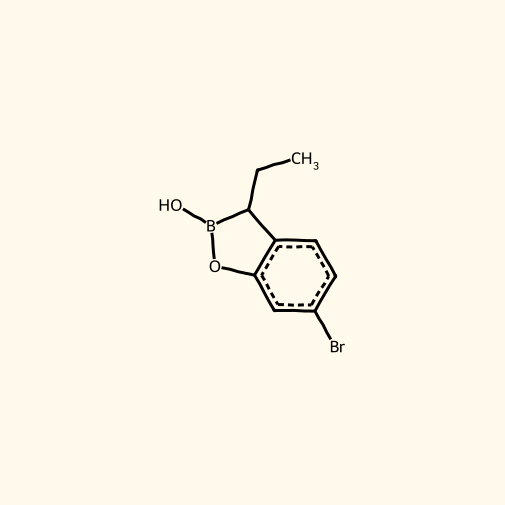 CCC1B(O)Oc2cc(Br)ccc21